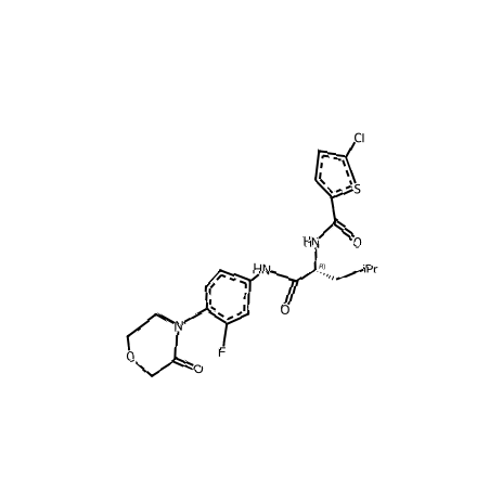 CC(C)C[C@@H](NC(=O)c1ccc(Cl)s1)C(=O)Nc1ccc(N2CCOCC2=O)c(F)c1